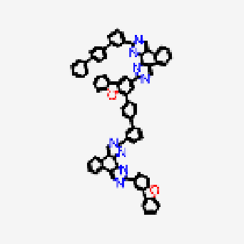 c1ccc(-c2ccc(-c3cccc(-c4ncc5c6ccccc6c6cnc(-c7cc(-c8ccc(-c9cccc(-c%10ncc%11c%12ccccc%12c%12cnc(-c%13ccc%14oc%15ccccc%15c%14c%13)nc%12c%11n%10)c9)cc8)c8oc9ccccc9c8c7)nc6c5n4)c3)cc2)cc1